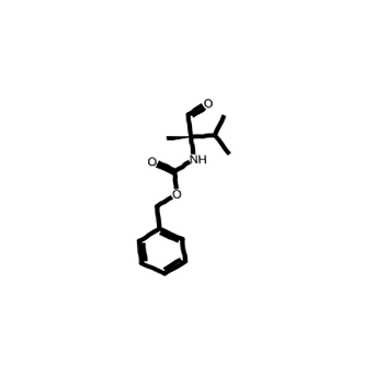 CC(C)[C@@](C)(C=O)NC(=O)OCc1ccccc1